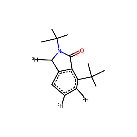 [2H]c1cc2c(c(C(C)(C)C)c1[2H])C(=O)N(C(C)(C)C)C2[2H]